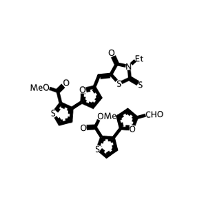 CCN1C(=O)C(=Cc2ccc(-c3ccsc3C(=O)OC)o2)SC1=S.COC(=O)c1sccc1-c1ccc(C=O)o1